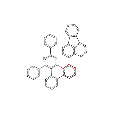 c1ccc(-c2cc(-c3ccccc3)c(-c3ccccc3-c3cccc(-c4ccc5c6c(cccc46)-c4ccccc4-5)c3)c(-c3ccccc3)n2)cc1